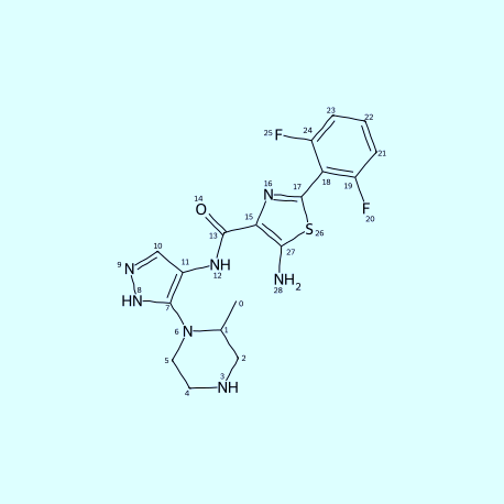 CC1CNCCN1c1[nH]ncc1NC(=O)c1nc(-c2c(F)cccc2F)sc1N